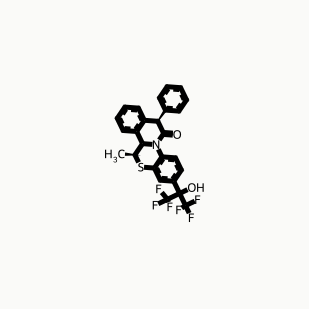 C[C@@H]1Sc2cc(C(O)(C(F)(F)F)C(F)(F)F)ccc2N2C(=O)[C@H](c3ccccc3)c3ccccc3C12